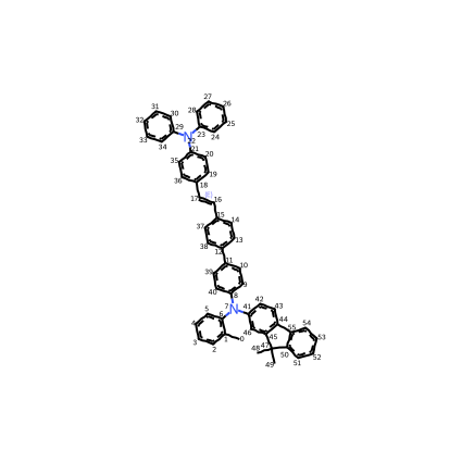 Cc1ccccc1N(c1ccc(-c2ccc(/C=C/c3ccc(N(c4ccccc4)c4ccccc4)cc3)cc2)cc1)c1ccc2c(c1)C(C)(C)c1ccccc1-2